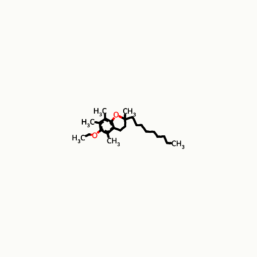 CCCCCCCCCC1(C)CCc2c(C)c(OCC)c(C)c(C)c2O1